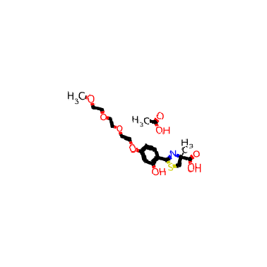 CC(=O)O.COCCOCCOCCOc1ccc(C2=N[C@@](C)(C(=O)O)CS2)c(O)c1